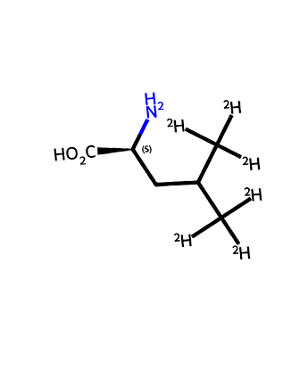 [2H]C([2H])([2H])C(C[C@H](N)C(=O)O)C([2H])([2H])[2H]